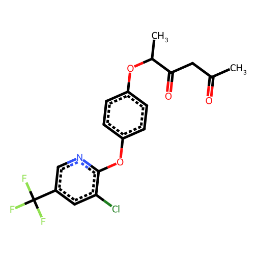 CC(=O)CC(=O)C(C)Oc1ccc(Oc2ncc(C(F)(F)F)cc2Cl)cc1